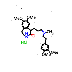 COc1ccc(CCN(C)CCCC2C(=O)NCCc3cc(OC)c(OC)cc32)cc1OC.Cl